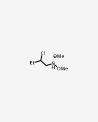 CCC(Cl)C[SiH](OC)OC